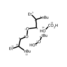 CC(C)(C)OO.CCCCC(CC)COOCC(CC)CCCC.O=C(O)O